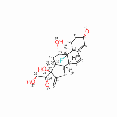 C=C1C[C@H]2[C@@H]3C=CC4=CC(=O)CC[C@]4(C)[C@@]3(F)[C@@H](O)C[C@]2(C)[C@@]1(O)C(=O)CO